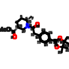 COC(=O)[C@@H]1CC[C@H](C)N(C(=O)Cc2ccc(B3OC(C)(C)C(C)(C)O3)cc2)C1